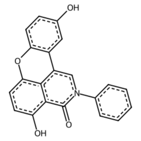 O=c1c2c(O)ccc3c2c(cn1-c1ccccc1)-c1cc(O)ccc1O3